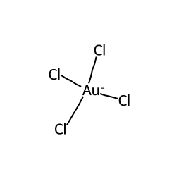 [Cl][Au-]([Cl])([Cl])[Cl]